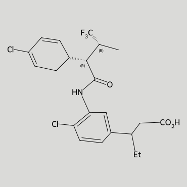 CCC(CC(=O)O)c1ccc(Cl)c(NC(=O)[C@H](C2C=CC(Cl)=CC2)[C@@H](C)C(F)(F)F)c1